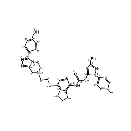 Cc1ccc(-n2nc(C(C)(C)C)cc2NC(=O)Nc2ccc(OCCN3CCn4c(nnc4-c4ccc(O)cc4)C3)c3c2CCC3)cc1